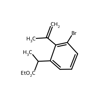 C=C(C)c1c(Br)cccc1C(C)C(=O)OCC